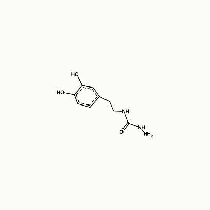 NNC(=O)NCCc1ccc(O)c(O)c1